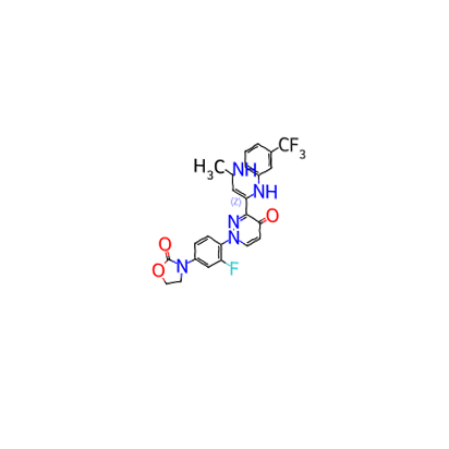 CC(=N)/C=C(\Nc1cccc(C(F)(F)F)c1)c1nn(-c2ccc(N3CCOC3=O)cc2F)ccc1=O